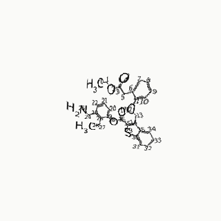 CCOC(=O)Cc1ccccc1OCc1c(C(=O)Oc2cccc(CN)c2CC)sc2ccccc12